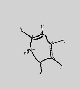 CC1=C(C)C(C)=C(C)C(C)N1